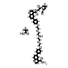 N#C[C@@H]1CC(F)(F)CN1C(=O)CNC(=O)c1ccnc2ccc(-c3ccc(OCCOCCNCCOCCOc4ccc(-c5ccc6nccc(C(N)=O)c6c5)cc4)cc3)cc12.O=C(O)C(F)(F)F